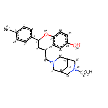 N#Cc1ccc(C(CCCN2CC3CC(C2)CN(C(=O)O)C3)Oc2ccc(O)cc2)cc1